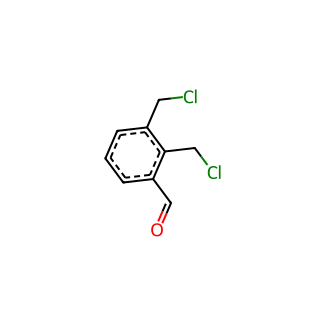 O=Cc1cccc(CCl)c1CCl